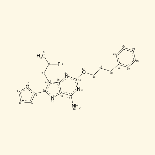 CC(F)Cn1c(-c2ccco2)nc2c(N)nc(OCCCc3ccccc3)nc21